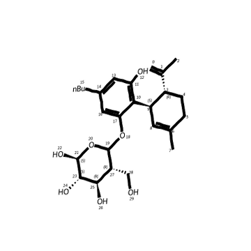 C=C(C)[C@@H]1CCC(C)=C[C@H]1c1c(O)cc(CCCC)cc1OC1O[C@H](O)[C@@H](O)[C@H](O)[C@H]1CO